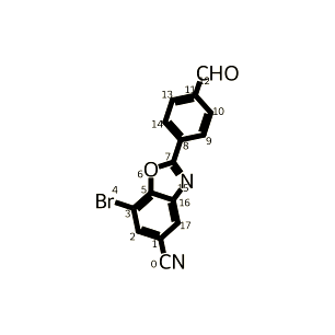 N#Cc1cc(Br)c2oc(-c3ccc(C=O)cc3)nc2c1